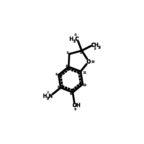 CC1(C)Cc2cc(N)c(O)cc2O1